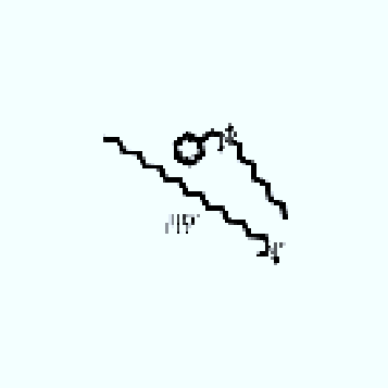 CCCCCCCCCCCCCCCC[N+](C)(C)C.CCCCCCCC[N+](C)(C)Cc1ccccc1.[OH-].[OH-]